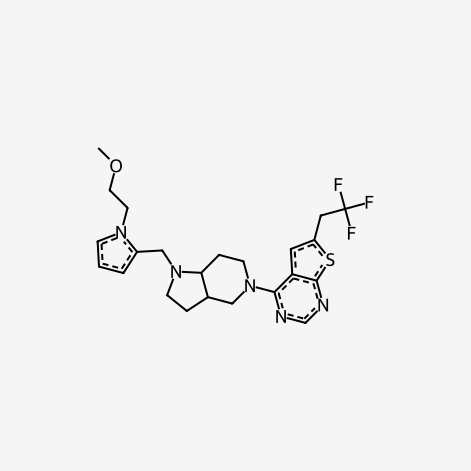 COCCn1cccc1CN1CCC2CN(c3ncnc4sc(CC(F)(F)F)cc34)CCC21